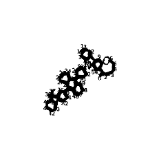 C=C1/C=C\C=C/COc2cc3c4ccccc4n(-c4ccc(-c5c6ccccc6c(-c6ccc7c(c6)C(C)(C)c6ccccc6-7)c6ccccc56)cc4)c3cc21